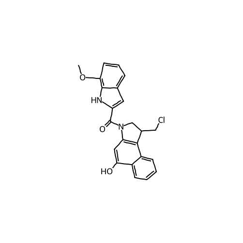 COc1cccc2cc(C(=O)N3CC(CCl)c4c3cc(O)c3ccccc43)[nH]c12